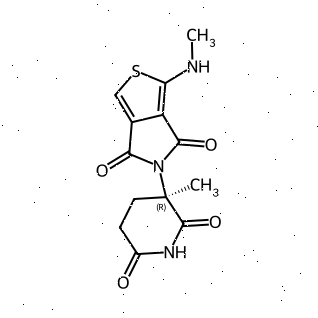 CNc1scc2c1C(=O)N([C@]1(C)CCC(=O)NC1=O)C2=O